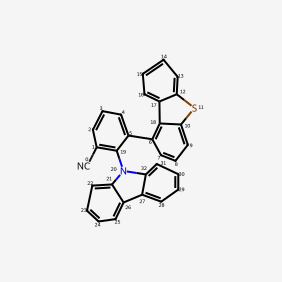 N#Cc1cccc(-c2cccc3sc4ccccc4c23)c1-n1c2ccccc2c2ccccc21